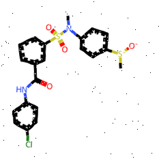 CN(c1ccc([S+](C)[O-])cc1)S(=O)(=O)c1cccc(C(=O)Nc2ccc(Cl)cc2)c1